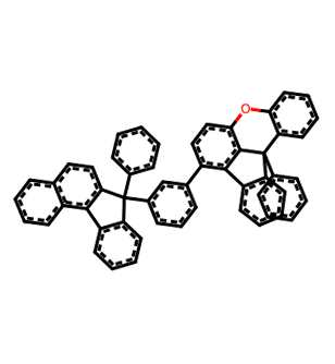 c1ccc(C2(c3cccc(-c4ccc5c6c4-c4ccccc4C6(c4ccccc4)c4ccccc4O5)c3)c3ccccc3-c3c2ccc2ccccc32)cc1